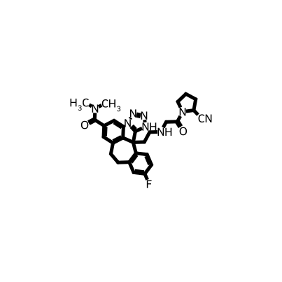 CN(C)C(=O)c1ccc2c(c1)CCc1cc(F)ccc1C2(CCNCC(=O)N1CCCC1C#N)c1nnn[nH]1